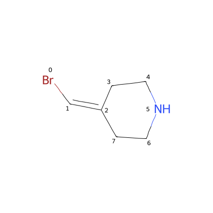 BrC=C1CCNCC1